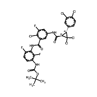 CC(C)(C)OC(=O)Nc1ccc(F)c(NC(=O)c2cc(NC(=O)[C@H]3[C@H](c4ccc(Cl)c(Cl)c4)C3(Cl)Cl)cc(F)c2Cl)c1F